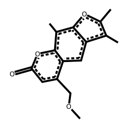 COCc1cc(=O)oc2c(C)c3oc(C)c(C)c3cc12